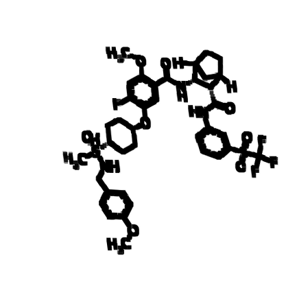 COc1ccc(CN[SH](C)(=O)[C@H]2CC[C@H](Oc3cc(C(=O)N[C@@H]4[C@@H]5CC[C@@H](C5)[C@@H]4C(=O)Nc4cccc(S(=O)(=O)C(F)(F)F)c4)c(OC)cc3F)CC2)cc1